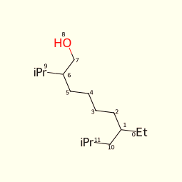 CCC(CCCCC(CO)C(C)C)CC(C)C